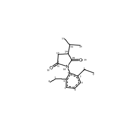 CCc1cccc(CC)c1N1C(=O)CC(C(C)C)C1=O